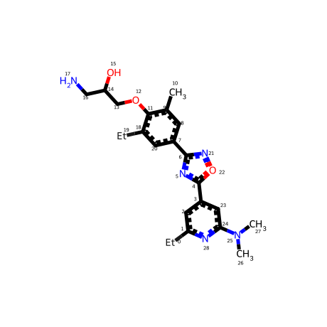 CCc1cc(-c2nc(-c3cc(C)c(OCC(O)CN)c(CC)c3)no2)cc(N(C)C)n1